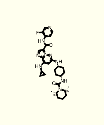 C[C@@H]1CCC[C@H](C)N1C(=O)N[C@H]1CC[C@H](Nc2cc(NC3CC3)c3ncc(C(=O)Nc4ccncc4F)n3n2)CC1